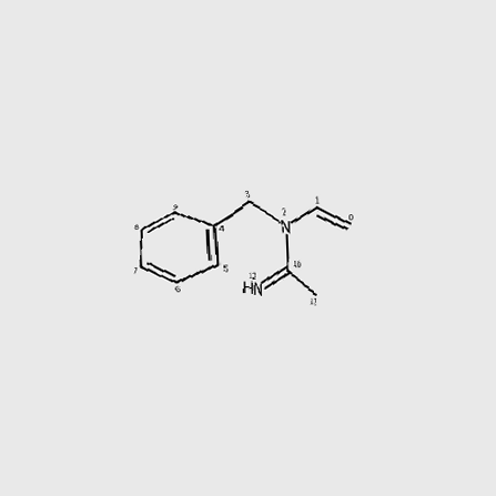 C=CN(Cc1ccccc1)C(C)=N